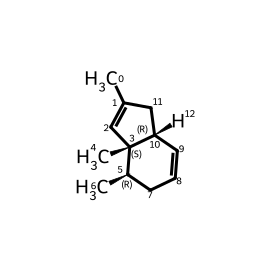 CC1=C[C@@]2(C)[C@H](C)CC=C[C@H]2C1